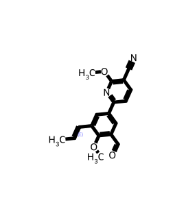 C/C=C/c1cc(-c2ccc(C#N)c(OC)n2)cc(C=O)c1OC